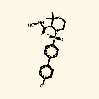 CC1(C)SCCN(S(=O)(=O)c2ccc(-c3ccc(Cl)cc3)cc2)[C@H]1C(=O)NO